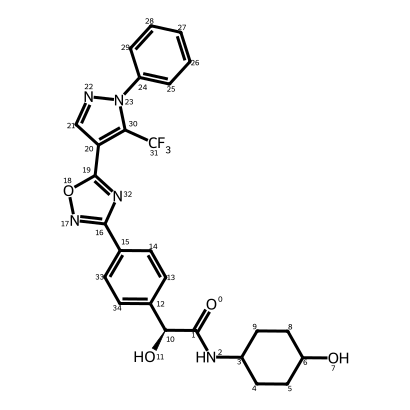 O=C(NC1CCC(O)CC1)[C@@H](O)c1ccc(-c2noc(-c3cnn(-c4ccccc4)c3C(F)(F)F)n2)cc1